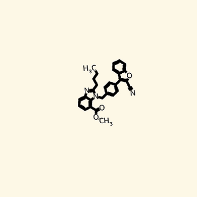 CCCCc1nc2cccc(C(=O)OC)c2n1Cc1ccc(-c2c(C#N)oc3ccccc23)cc1